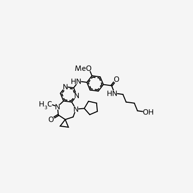 COc1cc(C(=O)NCCCCO)ccc1Nc1ncc2c(n1)N(C1CCCC1)CC1(CC1)C(=O)N2C